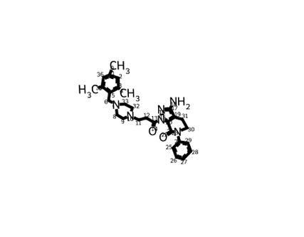 Cc1cc(C)c(CN2CCN(CCC(=O)n3nc(N)c4c3C(=O)N(c3ccccc3)CC4)CC2)c(C)c1